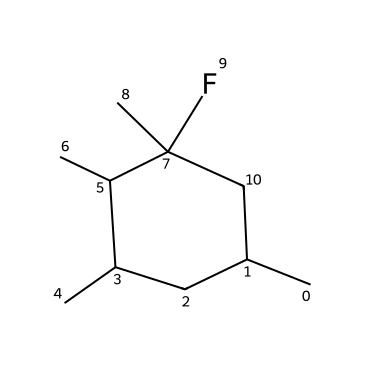 CC1CC(C)C(C)C(C)(F)C1